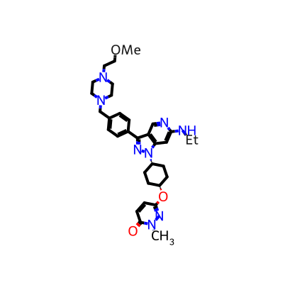 CCNc1cc2c(cn1)c(-c1ccc(CN3CCN(CCOC)CC3)cc1)nn2[C@H]1CC[C@@H](Oc2ccc(=O)n(C)n2)CC1